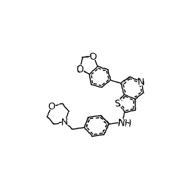 c1cc(Nc2cc3cncc(-c4ccc5c(c4)OCO5)c3s2)ccc1CN1CCOCC1